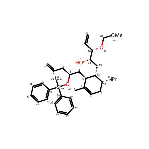 C=CC[C@@H](C[C@@H]1C(C)=CC[C@@H](C(C)C)[C@H]1C[C@H](O)[C@H](C=C)OCOC)O[Si](c1ccccc1)(c1ccccc1)C(C)(C)C